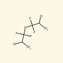 FC(F)(F)C(Cl)C(F)(F)OC(F)(F)C(Cl)C(F)(F)F